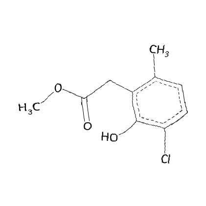 COC(=O)Cc1c(C)ccc(Cl)c1O